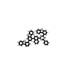 C1=Cc2c(-c3nc(-c4ccccc4)nc(-c4cccc5oc6ccccc6c45)n3)ccc(-c3cc(-c4cccc5c4oc4ccccc45)cc4oc5ccccc5c34)c2CC1